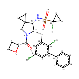 O=C([C@H]1CCO1)N1CC2(CC2)[C@H](NS(=O)(=O)C2(F)CC2)[C@@H]1Cc1cc(F)cc(-c2ccccc2)c1F